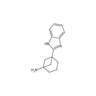 NC12CCCC(c3nc4ccccc4[nH]3)(C1)C2